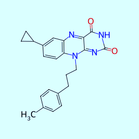 Cc1ccc(CCCn2c3nc(=O)[nH]c(=O)c-3nc3cc(C4CC4)ccc32)cc1